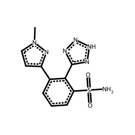 Cn1ccc(-c2cccc(S(N)(=O)=O)c2-c2nn[nH]n2)n1